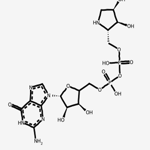 Nc1nc2c(ncn2[C@@H]2OC(COP(=O)(O)OP(=O)(O)OC[C@@H]3NC[C@@H](O)[C@H]3O)[C@@H](O)[C@H]2O)c(=O)[nH]1